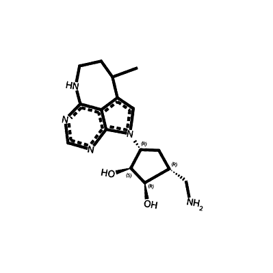 CC1CCNc2ncnc3c2c1cn3[C@@H]1C[C@H](CN)[C@@H](O)[C@H]1O